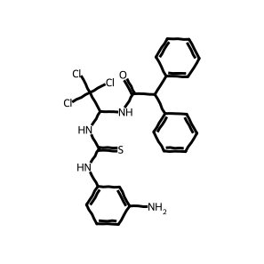 Nc1cccc(NC(=S)NC(NC(=O)C(c2ccccc2)c2ccccc2)C(Cl)(Cl)Cl)c1